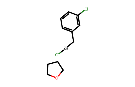 C1CCOC1.[Cl][Zn][CH2]c1cccc(Cl)c1